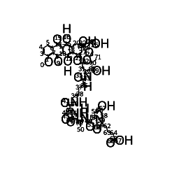 COc1cccc2c1C(=O)c1c(O)c3c(c(O)c1C2=O)C[C@@](O)(C(=O)CO)CC3OC1CC(NC(=O)CCCCNC(=O)[C@H](CO)NC(=O)[C@H](C)NC(=O)[C@@H]2C[C@@H](O)CN2C(=O)CCCC(=O)O)C(O)C(C)O1